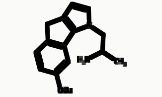 CC(C)COc1ccc2c(c1)-c1c(ccn1CC(C)N)C2